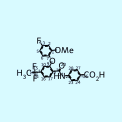 COc1cc(F)ccc1Oc1cc(C(C)(F)F)ccc1C(=O)Nc1ccc(C(=O)O)cc1